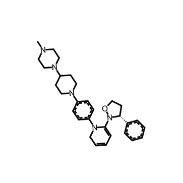 CN1CCN(C2CCN(c3ccc(N4CC=CC=C4N4OCC[C@@H]4c4ccccc4)cc3)CC2)CC1